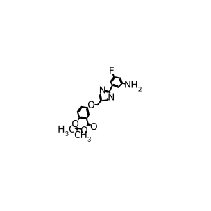 CC1(C)OC(=O)c2cc(OCc3cnc(-c4cc(N)cc(F)c4)nc3)ccc2O1